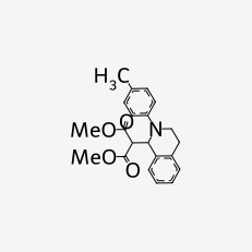 COC(=O)C(C(=O)OC)C1c2ccccc2CCN1c1ccc(C)cc1